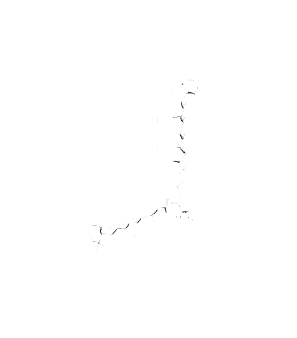 CNC(=O)[C@H](CCCCNC(=O)/C=C(C)/C=C/C=C(C)/C=C/C1=C(C)CCCC1(C)C)NC(=O)/C=C(C)/C=C/C=C(C)/C=C/C1=C(C)CCCC1(C)C